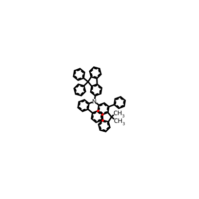 CC1(C)c2ccccc2-c2cc(N(c3ccc4c(c3)C(c3ccccc3)(c3ccccc3)c3ccccc3-4)c3ccccc3-c3ccccc3)cc(-c3ccccc3)c21